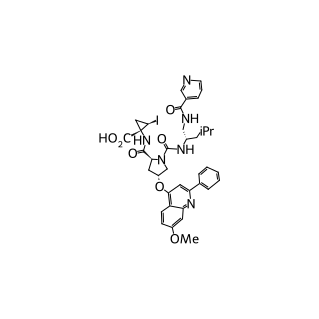 COc1ccc2c(O[C@@H]3C[C@@H](C(=O)N[C@]4(C(=O)O)C[C@H]4I)N(C(=O)N[C@H](CNC(=O)c4cccnc4)CC(C)C)C3)cc(-c3ccccc3)nc2c1